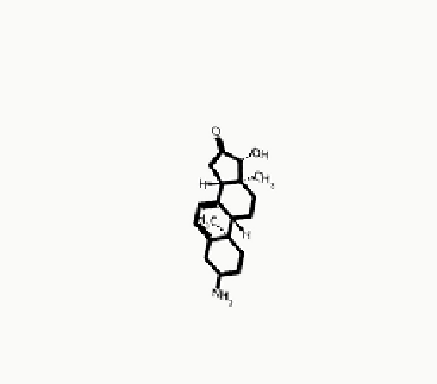 C[C@]12CC[C@H]3C(=CC=C4CC(N)CC[C@@]43C)[C@@H]1CC(=O)[C@@H]2O